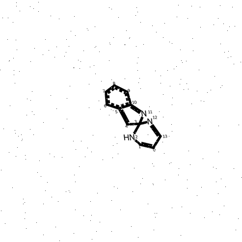 C1=CNC2(C=c3ccccc3=N2)N=C1